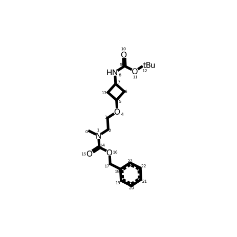 CN(CCOC1CC(NC(=O)OC(C)(C)C)C1)C(=O)OCc1ccccc1